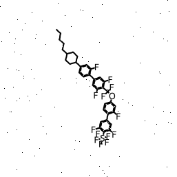 CCCCCC1CCC(c2ccc(-c3cc(F)c(C(F)(F)Oc4ccc(-c5cc(F)c(S(F)(F)(F)(F)F)c(F)c5)c(F)c4)c(F)c3)c(F)c2)CC1